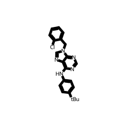 CC(C)(C)c1ccc(Nc2ncnc3c2ncn3Cc2ccccc2Cl)cc1